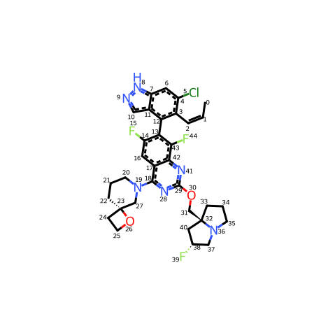 C/C=C\c1c(Cl)cc2[nH]ncc2c1-c1c(F)cc2c(N3CCC[C@]4(CCO4)C3)nc(OC[C@@]34CCCN3C[C@H](F)C4)nc2c1F